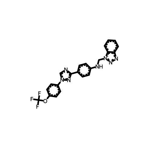 FC(F)(F)Oc1ccc(-n2cnc(-c3ccc(NCn4nnc5ccccc54)cc3)n2)cc1